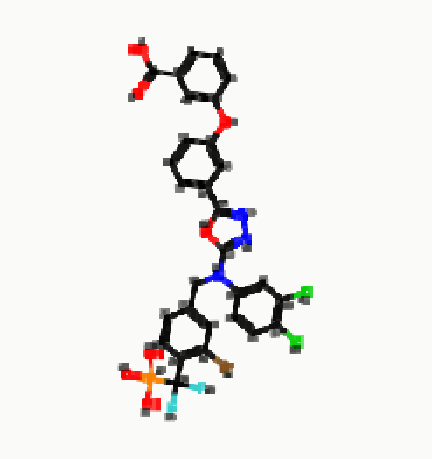 O=C(O)c1cccc(Oc2cccc(-c3nnc(N(Cc4ccc(C(F)(F)P(=O)(O)O)c(Br)c4)c4ccc(Cl)c(Cl)c4)o3)c2)c1